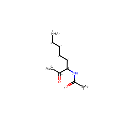 CNC(=O)NC(CCCCNC(C)=O)C(=O)OC